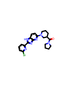 O=C(C1CCCN(c2ccc3[nH]c(-c4cccc(Br)n4)nc3n2)C1)N1CCCC1